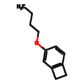 CCCCOc1ccc2c(c1)CC2